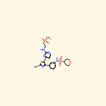 CC(C)c1nc(-c2cccc(NS(=O)(=O)C3CCOCC3)c2)c(-c2ccnc(NCCS(C)(=O)=O)n2)s1